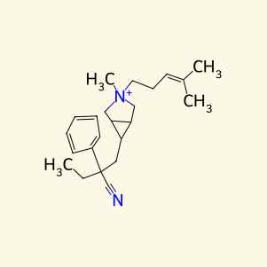 CCC(C#N)(CC1C2C[N+](C)(CCC=C(C)C)CC12)c1ccccc1